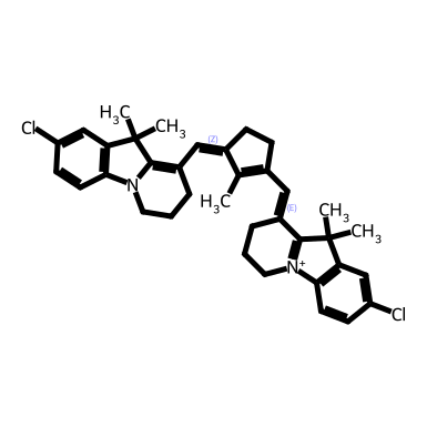 CC1=C(/C=C2\CCC[N+]3=C2C(C)(C)c2cc(Cl)ccc23)CC/C1=C/C1=C2N(CCC1)c1ccc(Cl)cc1C2(C)C